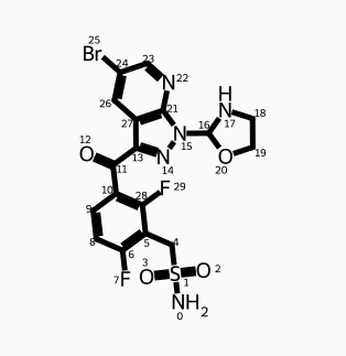 NS(=O)(=O)Cc1c(F)ccc(C(=O)c2nn(C3NCCO3)c3ncc(Br)cc23)c1F